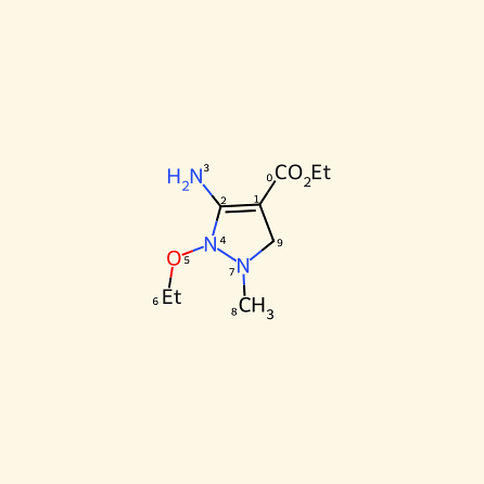 CCOC(=O)C1=C(N)N(OCC)N(C)C1